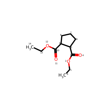 CCOC(=O)C1C[CH]CC1C(=O)OCC